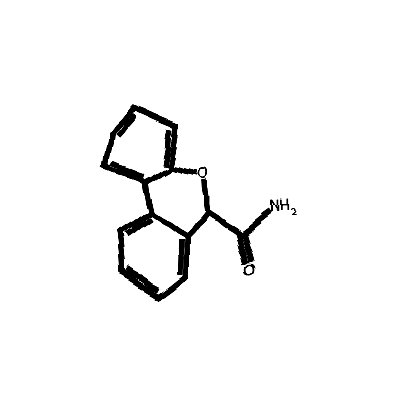 NC(=O)C1Oc2ccccc2-c2ccccc21